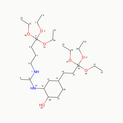 CCO[Si](CCCNC(C)NC1CC(CC[Si](OCC)(OCC)OCC)CCC1O)(OCC)OCC